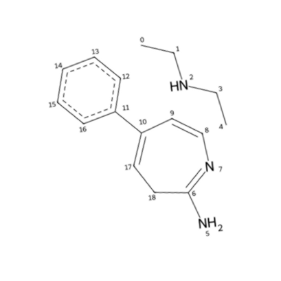 CCNCC.NC1=NC=CC(c2ccccc2)=CC1